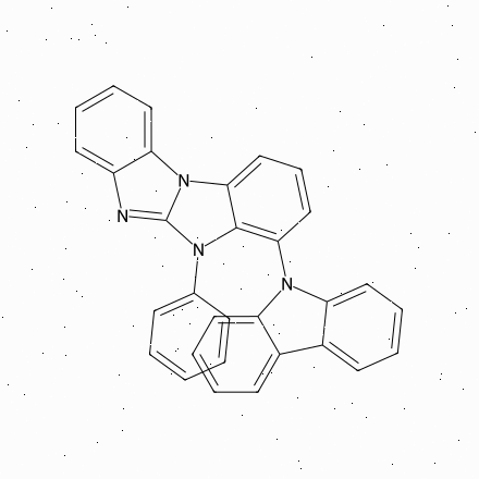 c1ccc(-n2c3c(-n4c5ccccc5c5ccccc54)cccc3n3c4ccccc4nc23)cc1